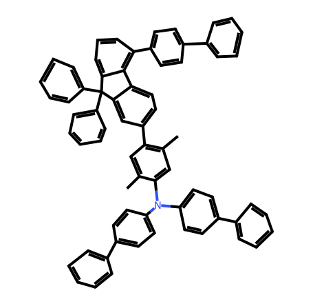 Cc1cc(N(c2ccc(-c3ccccc3)cc2)c2ccc(-c3ccccc3)cc2)c(C)cc1-c1ccc2c(c1)C(c1ccccc1)(c1ccccc1)c1cccc(-c3ccc(-c4ccccc4)cc3)c1-2